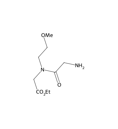 CCOC(=O)CN(CCOC)C(=O)CN